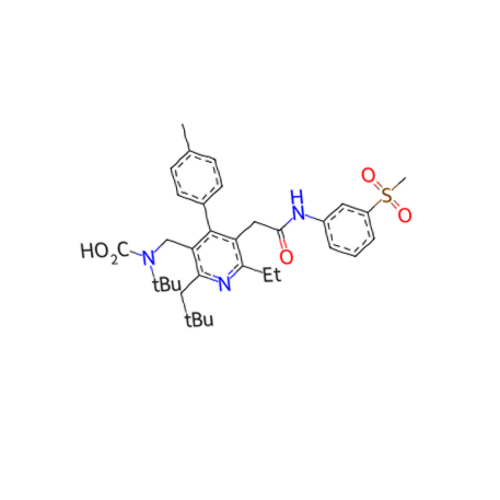 CCc1nc(CC(C)(C)C)c(CN(C(=O)O)C(C)(C)C)c(-c2ccc(C)cc2)c1CC(=O)Nc1cccc(S(C)(=O)=O)c1